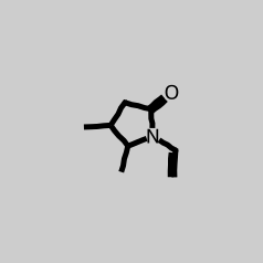 C=CN1C(=O)CC(C)C1C